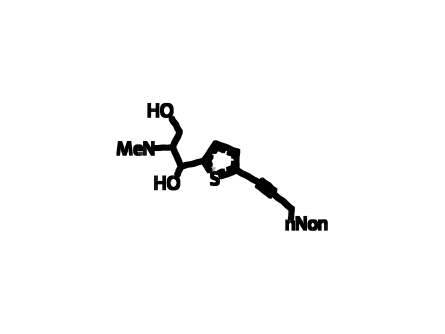 CCCCCCCCCCC#Cc1ccc(C(O)C(CO)NC)s1